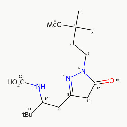 COC(C)(C)CCN1N=C(CC(NC(=O)O)C(C)(C)C)CC1=O